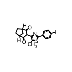 Cc1sc(-c2ccc(I)cc2)nc1C1C(=O)[C@@H]2CC[C@@H](C2)C1=O